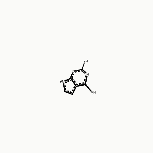 Sc1nc(S)c2cc[nH]c2n1